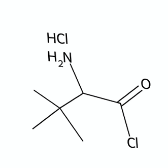 CC(C)(C)C(N)C(=O)Cl.Cl